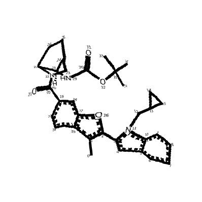 Cc1c(-c2cc3ccccc3n2CC2CC2)oc2cc(C(=O)N3CC4CCC3[C@@H]4NC(=O)OC(C)(C)C)ccc12